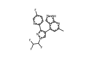 Cc1cc(-c2cn(C(F)C(F)F)nc2-c2ccc(F)cn2)c2cn[nH]c2n1